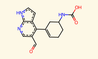 O=Cc1cnc2[nH]ccc2c1C1=CCCC(NC(=O)O)C1